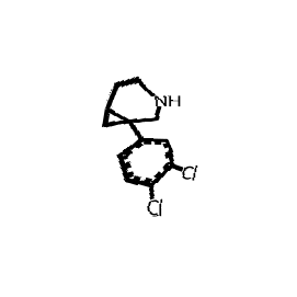 Clc1ccc(C23CNCCC2C3)cc1Cl